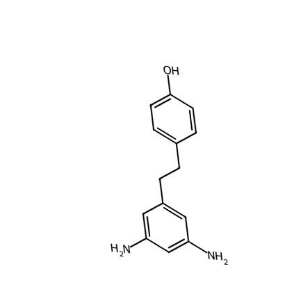 Nc1cc(N)cc(CCc2ccc(O)cc2)c1